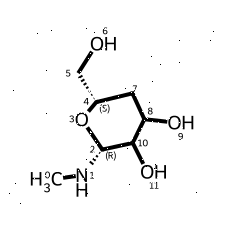 CN[C@@H]1O[C@H](CO)CC(O)C1O